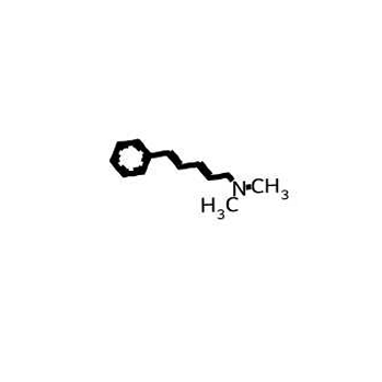 CN(C)CC=CC=Cc1ccccc1